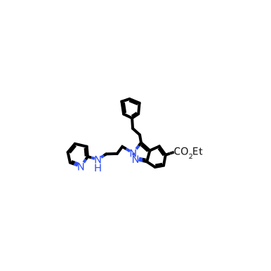 CCOC(=O)c1ccc2nn(CCCNc3ccccn3)c(CCc3ccccc3)c2c1